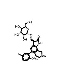 COc1ccc(F)cc1-c1cc2c(c3c1CCN(C)C3)NC(=O)/C2=N\O[C@H]1O[C@@H](CO)[C@H](O)[C@@H](O)[C@@H]1O